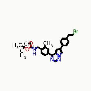 Cc1cc(-c2ncnn3cc(-c4ccc(CCBr)cc4)cc23)ccc1CNC(=O)OC(C)(C)C